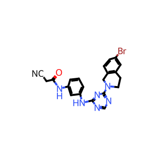 N#CCC(=O)Nc1cccc(Nc2ncnc(N3CCc4cc(Br)ccc4C3)n2)c1